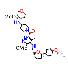 COc1nnc(C(=O)N2CCC(N[C@H]3CCOC[C@H]3OC)CC2)c(C)c1NC[C@H]1CCC[C@@H](c2ccc(OC(F)(F)F)cc2)O1